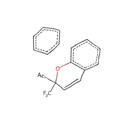 CC(=O)C1(C(F)(F)F)C=Cc2ccccc2O1.c1ccccc1